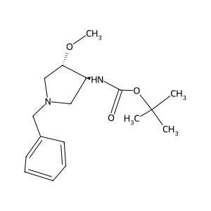 CO[C@H]1CN(Cc2ccccc2)C[C@@H]1NC(=O)OC(C)(C)C